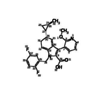 COc1ncccc1-c1c(C(=O)O)n(Cc2cc(F)ccc2F)c2c1=C[C@@H](C1C[C@H]1C)CC=2